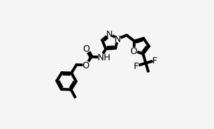 Cc1cccc(COC(=O)Nc2cnn(Cc3ccc(C(C)(F)F)o3)c2)c1